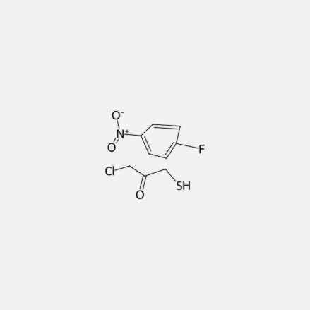 O=C(CS)CCl.O=[N+]([O-])c1ccc(F)cc1